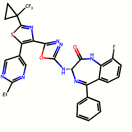 CCc1ncc(-c2sc(C3(C(F)(F)F)CC3)nc2-c2nnc(N[C@H]3N=C(c4ccccc4)c4cccc(F)c4NC3=O)o2)cn1